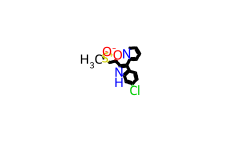 C[S+]([O-])CC(=O)c1[nH]c2cc(Cl)ccc2c1-c1ccccn1